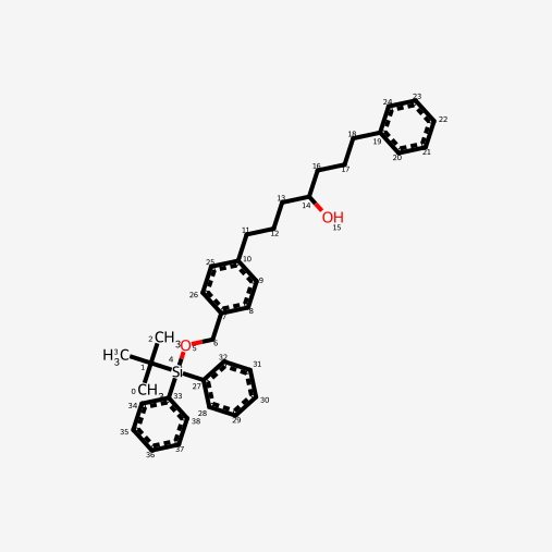 CC(C)(C)[Si](OCc1ccc(CCCC(O)CCCc2ccccc2)cc1)(c1ccccc1)c1ccccc1